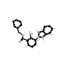 O=C(OCc1ccccc1)c1cccc(-n2nc3ccccc3n2)c1O